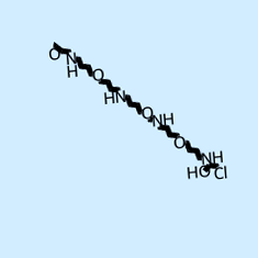 OC(CCl)NCCCCOCCCCNCOCCCCNCCCCOCCCCNCC1CO1